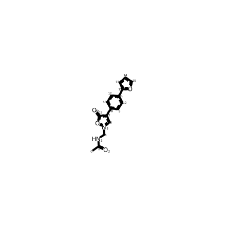 CC(=O)NCn1cc(-c2ccc(-c3ccco3)cc2)c(=O)o1